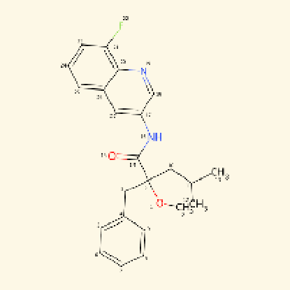 COC(Cc1ccccc1)(CC(C)C)C(=O)Nc1cnc2c(F)cccc2c1